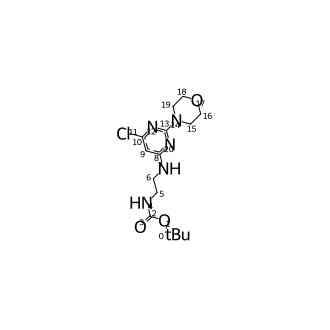 CC(C)(C)OC(=O)NCCNc1cc(Cl)nc(N2CCOCC2)n1